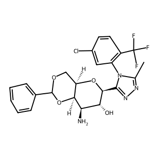 Cc1nnc([C@@H]2O[C@@H]3COC(c4ccccc4)O[C@@H]3[C@H](N)[C@H]2O)n1-c1cc(Cl)ccc1C(F)(F)F